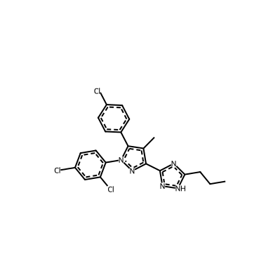 CCCc1nc(-c2nn(-c3ccc(Cl)cc3Cl)c(-c3ccc(Cl)cc3)c2C)n[nH]1